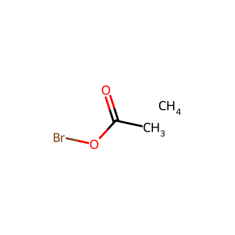 C.CC(=O)OBr